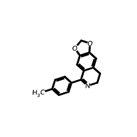 Cc1ccc(C2=NCCc3cc4c(cc32)OCO4)cc1